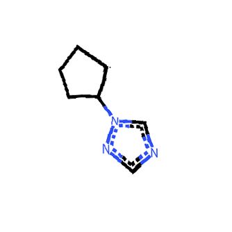 [CH]1CCCC1n1cncn1